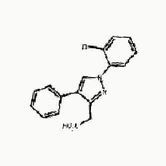 O=C(O)Cc1nn(-c2ccccc2Cl)cc1-c1ccccc1